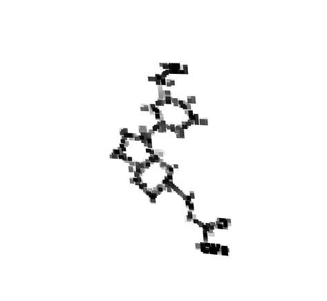 COC(=O)/C=C/c1ccc2ncn(-c3cncc(NC(C)(C)C)n3)c2c1